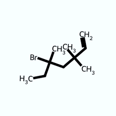 C=CC(C)(C)CC(C)(Br)CC